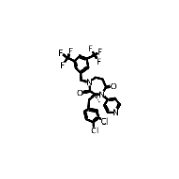 C[C@]1(Cc2ccc(Cl)c(Cl)c2)C(=O)N(Cc2cc(C(F)(F)F)cc(C(F)(F)F)c2)CCC(=O)N1c1ccncc1